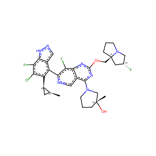 C[C@H]1C[C@H]1c1c(Cl)c(F)c2[nH]ncc2c1-c1ncc2c(N3CCC[C@@](C)(O)C3)nc(OC[C@@]34CCCN3C[C@H](F)C4)nc2c1F